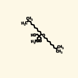 CC(C)CCCCCCCOC(CCCCCCCC(C)C)C(CO)(CO)CO.P